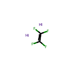 FC(F)=C(F)F.I.I